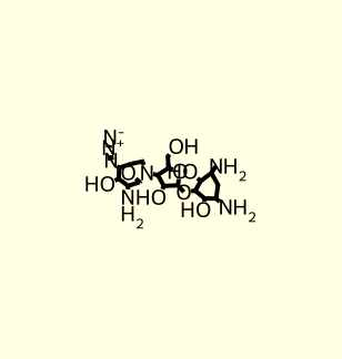 [N-]=[N+]=NC1C2CN(C3C(CO)OC(OC4C(O)C(N)CC(N)C4O)C3O)C(O2)C(N)C1O